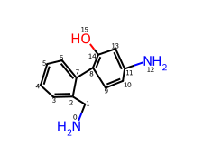 NCc1ccccc1-c1ccc(N)cc1O